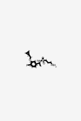 CC(NS(=O)(=O)CCCN)c1ccc(F)c(OCC2CC2)c1